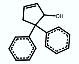 OC1C=CCC1(c1ccccc1)c1ccccc1